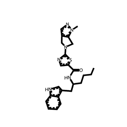 CCCCC(Cc1c[nH]c2ccccc12)NC(=O)c1cnc(N2Cc3cnn(C)c3C2)s1